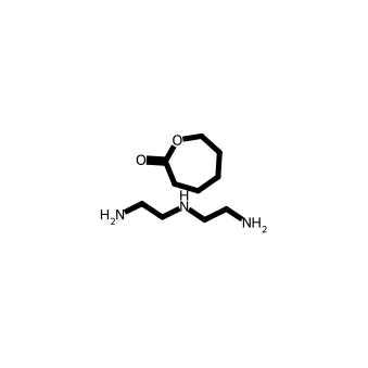 NCCNCCN.O=C1CCCCCO1